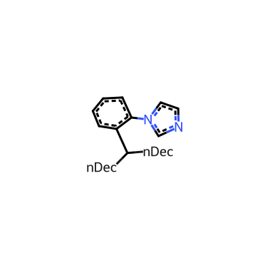 CCCCCCCCCCC(CCCCCCCCCC)c1ccccc1-n1ccnc1